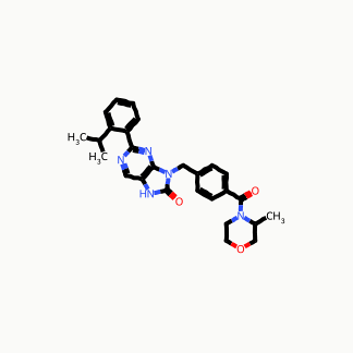 CC(C)c1ccccc1-c1ncc2[nH]c(=O)n(Cc3ccc(C(=O)N4CCOCC4C)cc3)c2n1